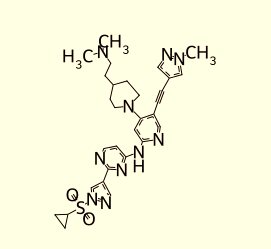 CN(C)CCC1CCN(c2cc(Nc3ccnc(-c4cnn(S(=O)(=O)C5CC5)c4)n3)ncc2C#Cc2cnn(C)c2)CC1